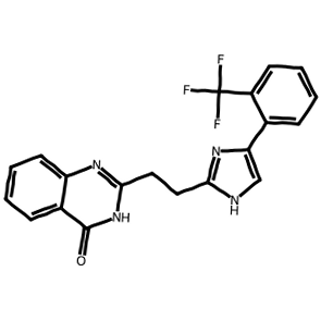 O=c1[nH]c(CCc2nc(-c3ccccc3C(F)(F)F)c[nH]2)nc2ccccc12